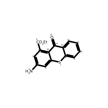 CCOC(=O)c1cc(N)cc2sc3ccccc3c(=O)c12